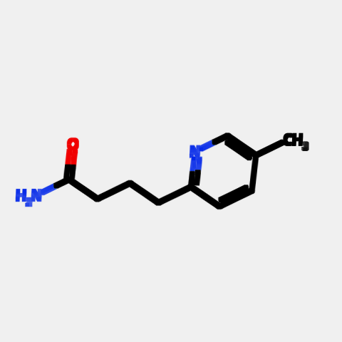 Cc1ccc(CCCC(N)=O)nc1